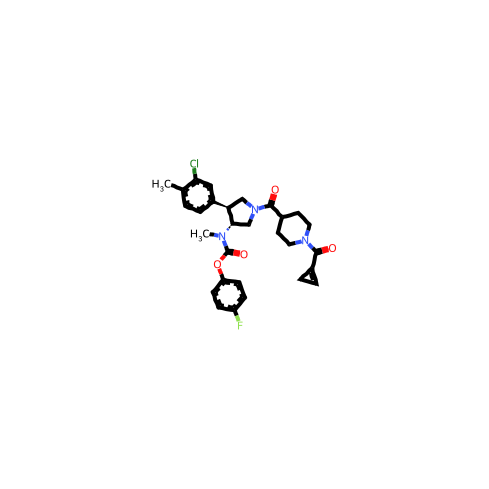 Cc1ccc([C@H]2CN(C(=O)C3CCN(C(=O)C4=CC4)CC3)C[C@@H]2N(C)C(=O)Oc2ccc(F)cc2)cc1Cl